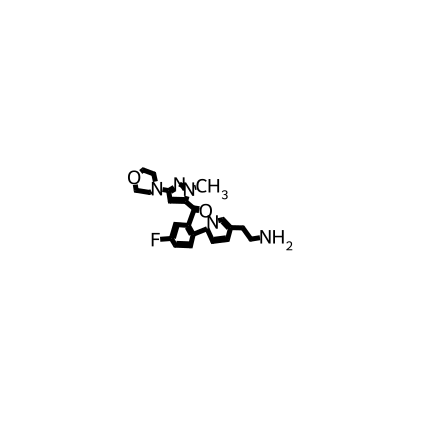 Cn1nc(N2CCOCC2)cc1C(=O)c1cc(F)ccc1-c1ccc(CCN)cn1